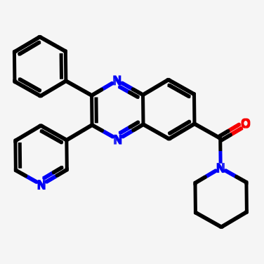 O=C(c1ccc2nc(-c3ccccc3)c(-c3cccnc3)nc2c1)N1CCCCC1